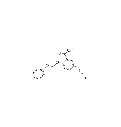 CCCCc1ccc(OCOc2ccccc2)c(C(=O)O)c1